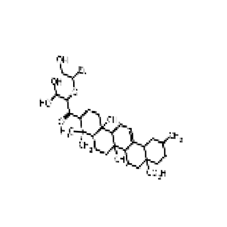 CCC(CO)OC(C(=O)C1CCC2(C)C(CCC3(C)C4CCC5(C(=O)O)CCC(C)CC5C4=CCC32)C1(C)C)C(O)O